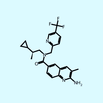 Cc1cc2cc(C(=O)N(Cc3ccc(C(F)(F)F)cn3)C[C@@H](C)C3CC3)ccc2nc1N